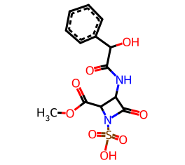 COC(=O)C1C(NC(=O)C(O)c2ccccc2)C(=O)N1S(=O)(=O)O